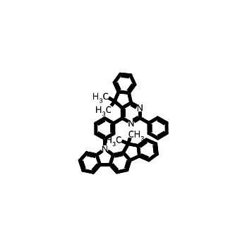 CC1(C)c2ccccc2-c2nc(-c3ccccc3)nc(-c3cccc(-n4c5ccccc5c5ccc6c(c54)C(C)(C)c4ccccc4-6)c3)c21